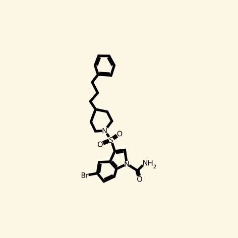 NC(=O)n1cc(S(=O)(=O)N2CCC(CCCc3ccccc3)CC2)c2cc(Br)ccc21